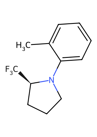 Cc1ccccc1N1CCC[C@H]1C(F)(F)F